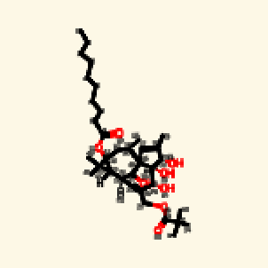 CCCCCCCCCC(=O)O[C@@]12C[C@@H](C)[C@]34C=C(C)[C@H](O)[C@@]3(O)[C@H](O)C(COC(=O)C(C)(C)C)=C[C@H](C4O)[C@@H]1C2(C)C